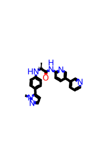 C[C@H](Nc1ccc(-c2ccnn2C)cc1)C(=O)Nc1ccc(-c2cccnc2)cn1